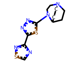 c1nc(-c2nnc(N3CCN4CCC3CC4)s2)ns1